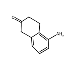 Nc1cccc2c1CCC(=O)C2